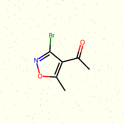 CC(=O)c1c(Br)noc1C